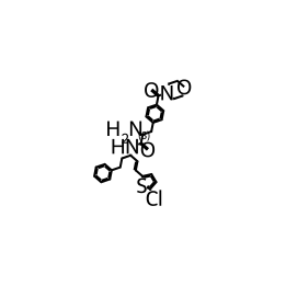 N[C@@H](Cc1ccc(C(=O)N2CCOCC2)cc1)C(=O)NC(C=Cc1ccc(Cl)s1)CCc1ccccc1